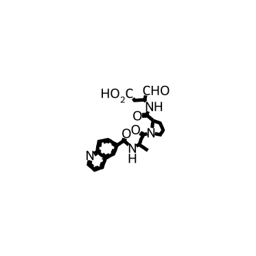 CC(NC(=O)c1ccc2ncccc2c1)C(=O)N1CCCC1C(=O)NC(C=O)CC(=O)O